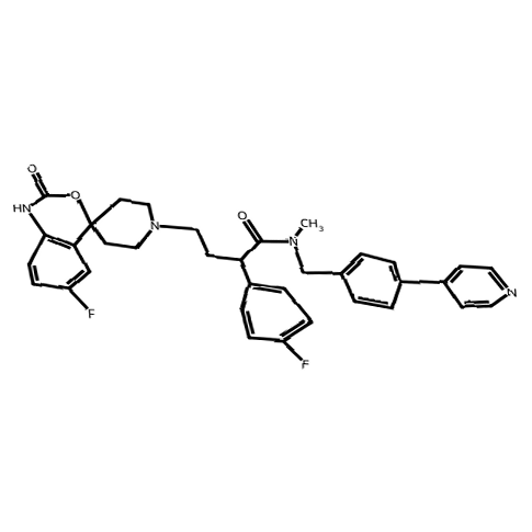 CN(Cc1ccc(-c2ccncc2)cc1)C(=O)C(CCN1CCC2(CC1)OC(=O)Nc1ccc(F)cc12)c1ccc(F)cc1